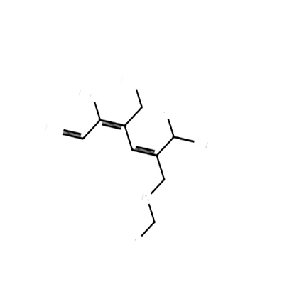 C=C/C(C)=C(\C=C(\CNCC)C(C)C)CC